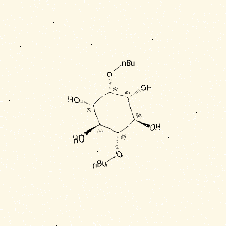 CCCCO[C@@H]1[C@H](O)[C@@H](O)[C@H](OCCCC)[C@@H](O)[C@@H]1O